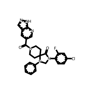 O=C(c1cnc2[nH]ncc2c1)N1CCC2(CC1)C(=O)N(c1ccc(Cl)cc1F)CN2c1ccccc1